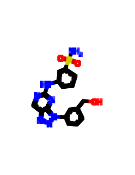 NS(=O)(=O)c1cccc(Nc2ncc3nnn(-c4cccc(CO)c4)c3n2)c1